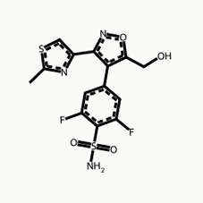 Cc1nc(-c2noc(CO)c2-c2cc(F)c(S(N)(=O)=O)c(F)c2)cs1